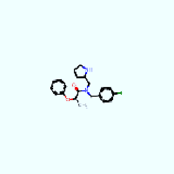 C[C@@H](Oc1ccccc1)C(=O)N(Cc1ccc(F)cc1)CC1CCCN1